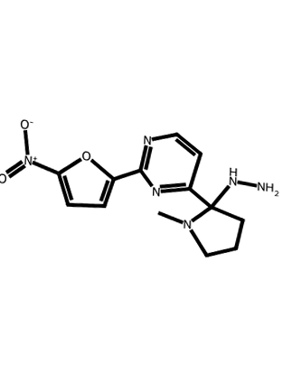 CN1CCCC1(NN)c1ccnc(-c2ccc([N+](=O)[O-])o2)n1